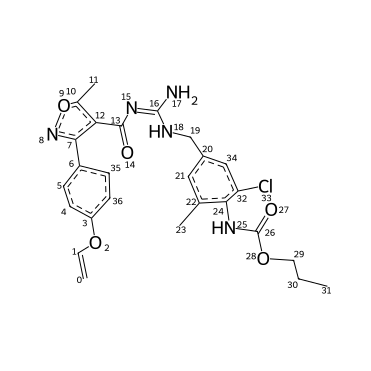 C=COc1ccc(-c2noc(C)c2C(=O)/N=C(/N)NCc2cc(C)c(NC(=O)OCCC)c(Cl)c2)cc1